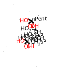 C=CC(=O)O.C=CC(=O)O.C=CC(=O)O.C=CC(=O)O.CCCCCC(CO)(CO)CO.CCCCCC(CO)(CO)CO